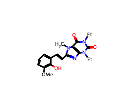 CCn1c(=O)c2c(nc(/C=C/c3cccc(OC)c3O)n2C)n(CC)c1=O